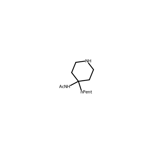 CCCCCC1(NC(C)=O)CCNCC1